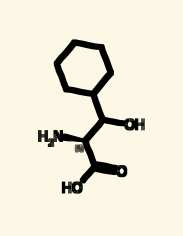 N[C@H](C(=O)O)C(O)C1CCCCC1